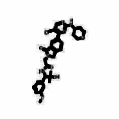 COc1cccc(C(NC(=O)CN2Cc3ccc(-c4nc(NC5CCOCC5)ncc4Cl)cc3C2=O)C(C)(C)O)c1